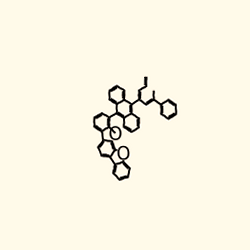 C=C/C=C(\C=C(/C)c1ccccc1)c1c2ccccc2c(-c2cccc3c2oc2c3ccc3c4ccccc4oc32)c2ccccc12